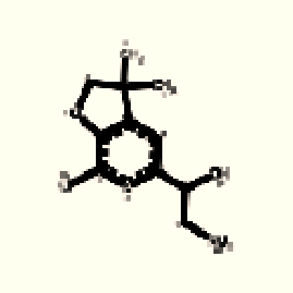 CC1(C)COc2c1cc(C(O)C[N+](=O)[O-])nc2Cl